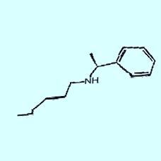 CCCCCN[C@@H](C)c1ccccc1